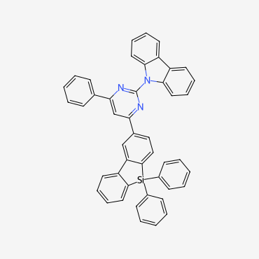 c1ccc(-c2cc(-c3ccc4c(c3)-c3ccccc3[Si]4(c3ccccc3)c3ccccc3)nc(-n3c4ccccc4c4ccccc43)n2)cc1